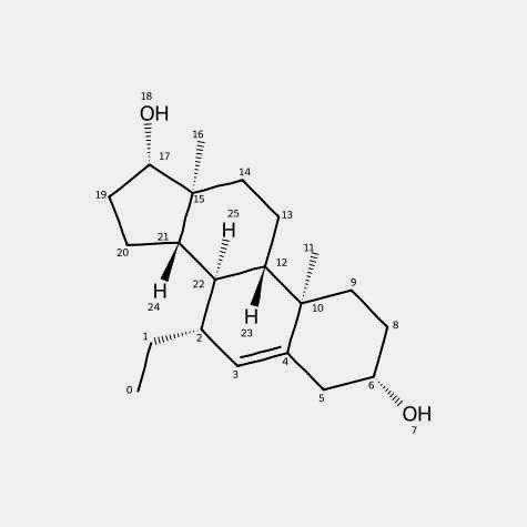 CC[C@H]1C=C2C[C@@H](O)CC[C@]2(C)[C@H]2CC[C@]3(C)[C@@H](O)CC[C@H]3[C@H]12